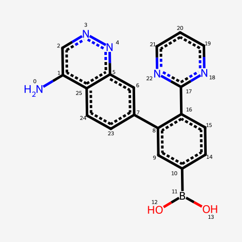 Nc1cnnc2cc(-c3cc(B(O)O)ccc3-c3ncccn3)ccc12